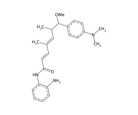 COC(c1ccc(N(C)C)cc1)C(C)/C=C(C)/C=C/C(=O)Nc1ccccc1N